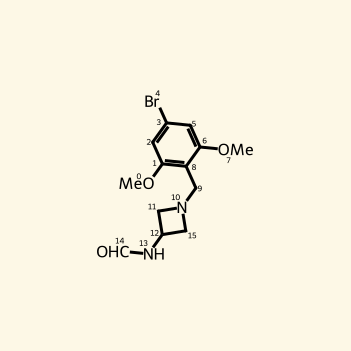 COc1cc(Br)cc(OC)c1CN1CC(NC=O)C1